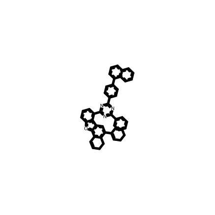 C1=CC(c2cc3c(oc4cccc(-c5nc(-c6ccccc6)nc(-c6ccc(-c7cccc8ccccc78)cc6)n5)c43)c3c2CCC=C3)=CCC1